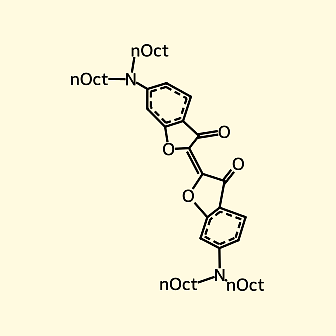 CCCCCCCCN(CCCCCCCC)c1ccc2c(c1)O/C(=C1\Oc3cc(N(CCCCCCCC)CCCCCCCC)ccc3C1=O)C2=O